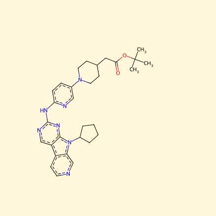 CC(C)(C)OC(=O)CC1CCN(c2ccc(Nc3ncc4c5ccncc5n(C5CCCC5)c4n3)nc2)CC1